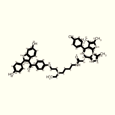 CCN(CCCCNC(=O)C[C@@H]1N=C(c2ccc(Cl)cc2)c2c(sc(C)c2C)-n2c(C)nnc21)CCOc1ccc(C(=O)c2c(-c3ccc(O)cc3)sc3cc(O)ccc23)cc1